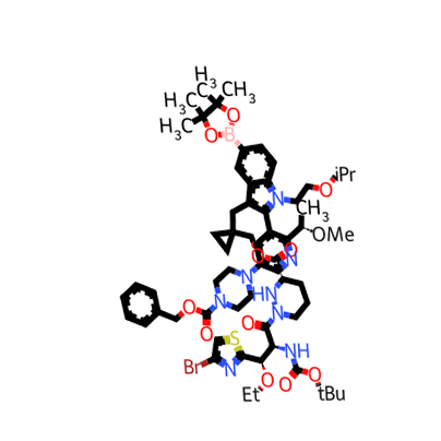 CCO[C@H](c1nc(Br)cs1)[C@H](NC(=O)OC(C)(C)C)C(=O)N1CCC[C@@H](C(=O)OCC2(Cc3c(-c4cc(N5CCN(C(=O)OCc6ccccc6)CC5)cnc4[C@H](C)OC)n(CCOC(C)C)c4ccc(B5OC(C)(C)C(C)(C)O5)cc34)CC2)N1